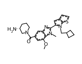 COc1cc(C(=O)N2CCC[C@@H](N)C2)cc2nc(-c3cc4ccsc4n3CC3CCC3)n(C)c12